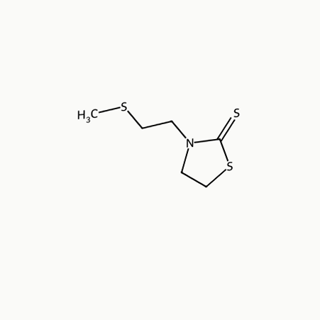 CSCCN1CCSC1=S